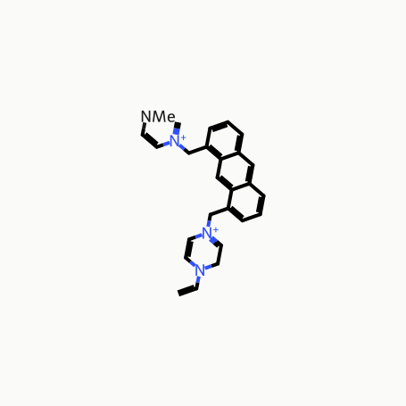 C=CN1C=C[N+](Cc2cccc3cc4cccc(C[N+](=C)/C=C\NC)c4cc23)=CC1